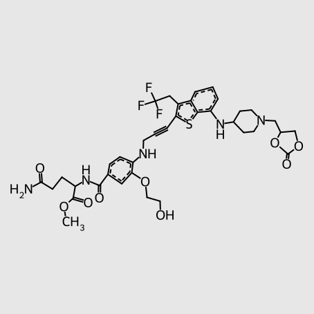 COC(=O)C(CCC(N)=O)NC(=O)c1ccc(NCC#Cc2sc3c(NC4CCN(CC5COC(=O)O5)CC4)cccc3c2CC(F)(F)F)c(OCCO)c1